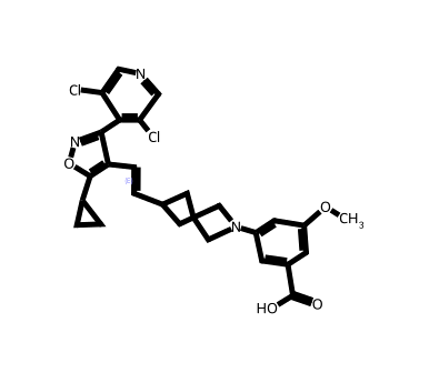 COc1cc(C(=O)O)cc(N2CC3(CC(/C=C/c4c(-c5c(Cl)cncc5Cl)noc4C4CC4)C3)C2)c1